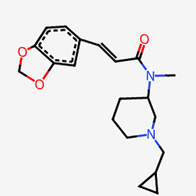 CN(C(=O)C=Cc1ccc2c(c1)OCO2)C1CCCN(CC2CC2)C1